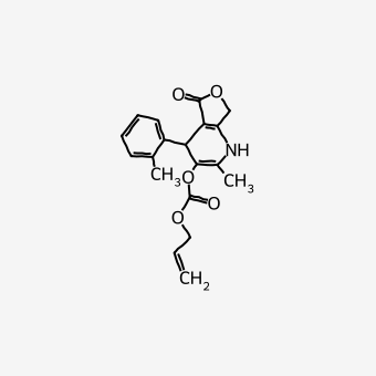 C=CCOC(=O)OC1=C(C)NC2=C(C(=O)OC2)C1c1ccccc1C